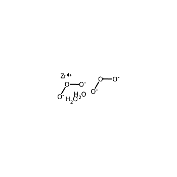 O.O.[O-]O[O-].[O-]O[O-].[Zr+4]